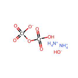 [NH4+].[NH4+].[OH-].[O]=[Cr](=[O])([O-])[O][Cr](=[O])(=[O])[OH]